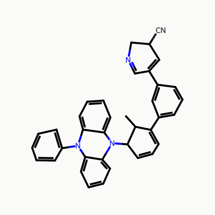 CC1C(c2cccc(C3=CC(C#N)CN=C3)c2)=CC=CC1N1c2ccccc2N(c2ccccc2)c2ccccc21